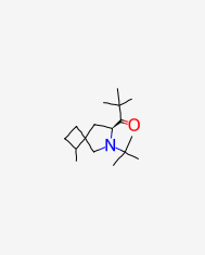 CC1CCC12C[C@@H](C(=O)C(C)(C)C)N(C(C)(C)C)C2